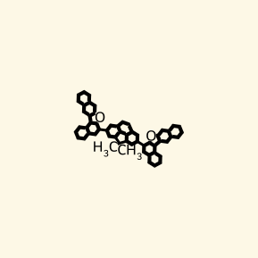 CC1(C)c2cc(-c3cc4ccccc4c4c3oc3cc5ccccc5cc34)cc3ccc4cc(-c5cc6ccccc6c6c5oc5cc7ccccc7cc56)cc1c4c23